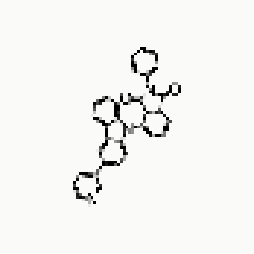 O=C1c2cccc(-n3c4ccccc4c4cc(-c5cccnc5)ccc43)c2C(=O)N1c1ccccc1